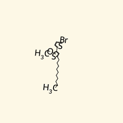 CCCCCCCCCCc1cc(-c2ccc(Br)s2)c(OC)s1